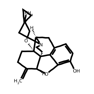 C=C1CC[C@@]2(OCCC)[C@H]3Cc4ccc(O)c5c4[C@@]2(CCN3CC2CC2)[C@H]1O5